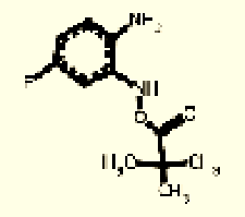 CC(C)(C)C(=O)ONc1cc(F)ccc1N